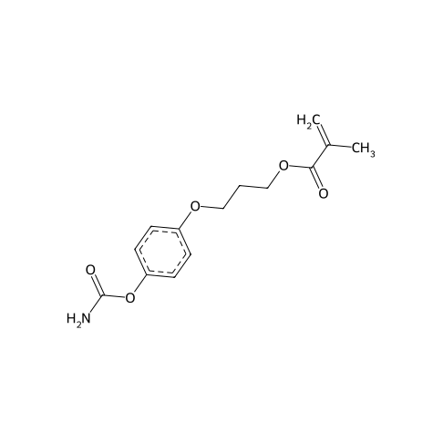 C=C(C)C(=O)OCCCOc1ccc(OC(N)=O)cc1